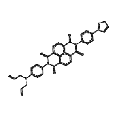 C=CCN(CC=C)c1ccc(N2C(=O)c3ccc4c5c(ccc(c35)C2=O)C(=O)N(c2ccc(C3=CCC=C3)cc2)C4=O)cc1